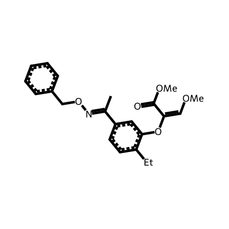 CCc1ccc(C(C)=NOCc2ccccc2)cc1OC(=COC)C(=O)OC